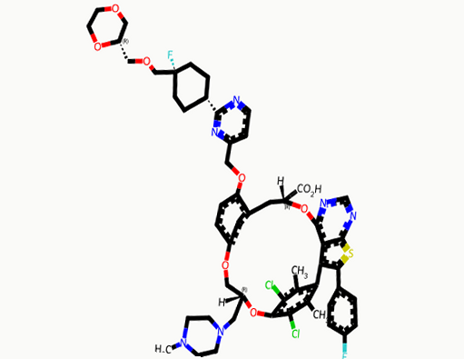 Cc1c(Cl)c2c(Cl)c(C)c1-c1c(-c3ccc(F)cc3)sc3ncnc(c13)O[C@@H](C(=O)O)Cc1cc(ccc1OCc1ccnc([C@H]3CC[C@](F)(COC[C@H]4COCCO4)CC3)n1)OC[C@@H](CN1CCN(C)CC1)O2